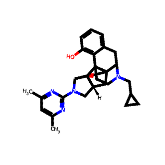 Cc1cc(C)nc(N2C[C@H]3CC45CCC2C3C42CCN(CC3CC3)C5Cc3cccc(O)c32)n1